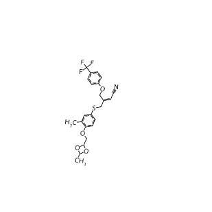 Cc1cc(SC/C(=C/C#N)COc2ccc(C(F)(F)F)cc2)ccc1OCC1OC(C)O1